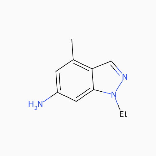 CCn1ncc2c(C)cc(N)cc21